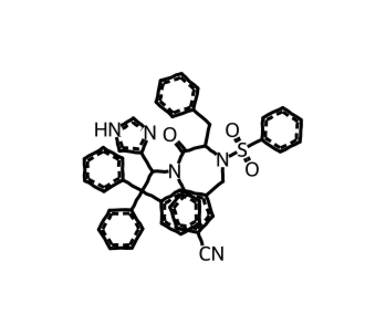 N#Cc1ccc2c(c1)CN(S(=O)(=O)c1ccccc1)C(Cc1ccccc1)C(=O)N2C(c1c[nH]cn1)C(c1ccccc1)(c1ccccc1)c1ccccc1